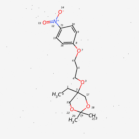 CCC1(OCCCOc2ccc([N+](=O)[O-])cc2)COC(C)(C)OC1